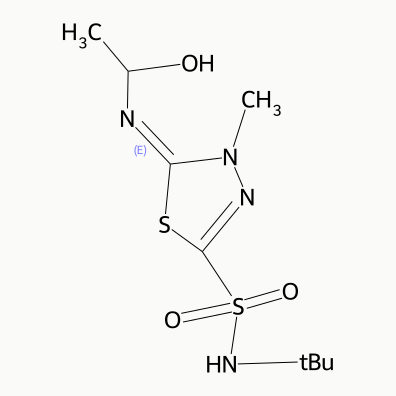 CC(O)/N=c1/sc(S(=O)(=O)NC(C)(C)C)nn1C